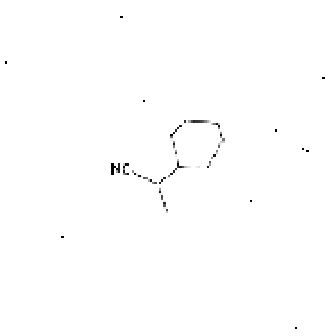 C[C](C#N)C1CCCCC1